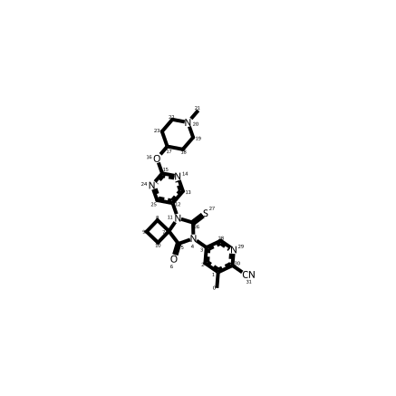 Cc1cc(N2C(=O)C3(CCC3)N(c3cnc(OC4CCN(C)CC4)nc3)C2=S)cnc1C#N